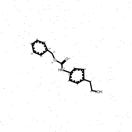 O=C(Nc1ccc(CCO)cc1)OCc1ccccc1